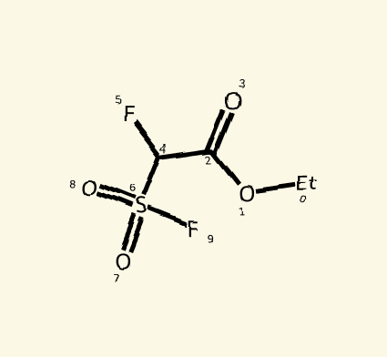 CCOC(=O)C(F)S(=O)(=O)F